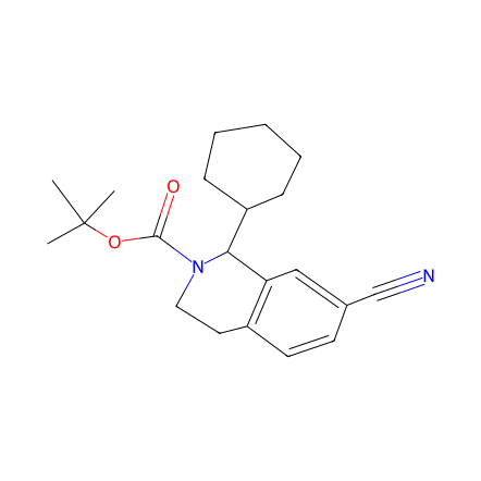 CC(C)(C)OC(=O)N1CCc2ccc(C#N)cc2C1C1CCCCC1